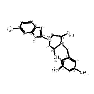 Cc1cc(O)cc(CN2C(C)CN(c3nc4ccc(C(F)(F)F)cc4s3)CC2C)c1